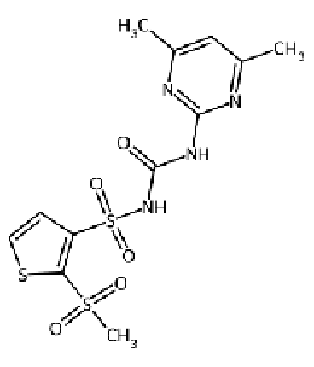 Cc1cc(C)nc(NC(=O)NS(=O)(=O)c2ccsc2S(C)(=O)=O)n1